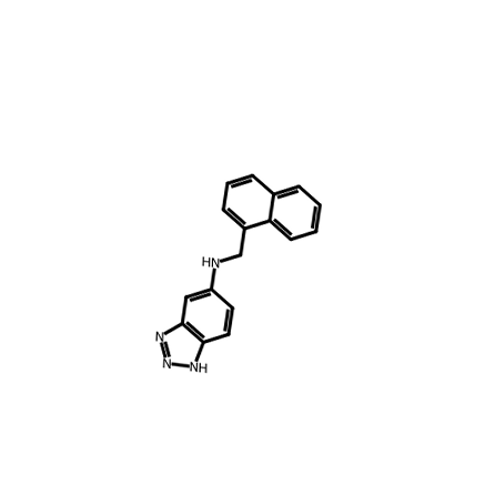 c1ccc2c(CNc3ccc4[nH]nnc4c3)cccc2c1